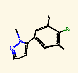 Cc1cc(-c2ccnn2C)cc(C)c1Br